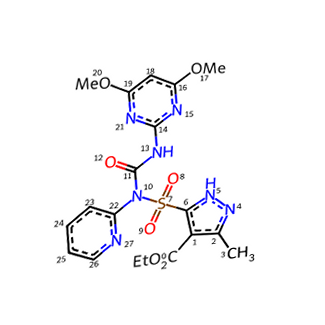 CCOC(=O)c1c(C)n[nH]c1S(=O)(=O)N(C(=O)Nc1nc(OC)cc(OC)n1)c1ccccn1